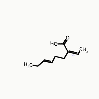 C/C=C(/CCC=CCC)C(=O)O